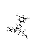 CCOC(=O)C(=O)[C@@H]1C[C@@H](c2cc(F)cc(F)c2)CN1C(=O)OC(C)(C)C